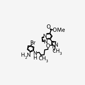 COC(=O)c1cc(-c2cnn(C)c2OCCC[C@@H](C)CNc2cc(Br)ccc2N)c2nccn2c1